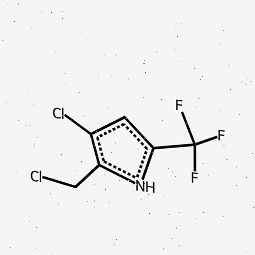 FC(F)(F)c1cc(Cl)c(CCl)[nH]1